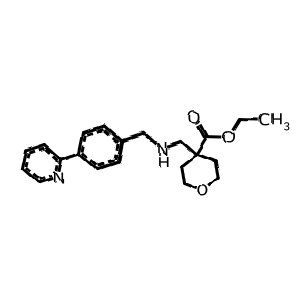 CCOC(=O)C1(CNCc2ccc(-c3ccccn3)cc2)CCOCC1